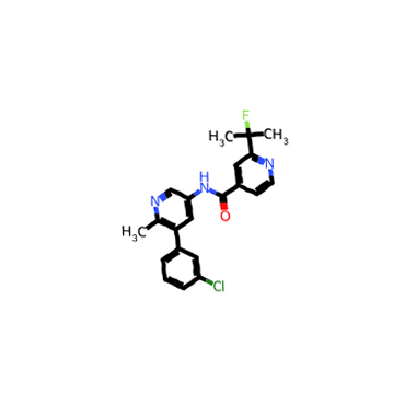 Cc1ncc(NC(=O)c2ccnc(C(C)(C)F)c2)cc1-c1cccc(Cl)c1